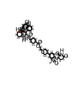 Cn1c(=O)n(C2CCC(=O)NC2=O)c2ccc(C3CCN(CCOC(=O)C4CCC(NC(=O)[C@@H]5NC6(CCCCC6)[C@@]6(C(=O)Nc7cc(Cl)ccc76)[C@H]5c5cccc(Cl)c5F)CC4)CC3)cc21